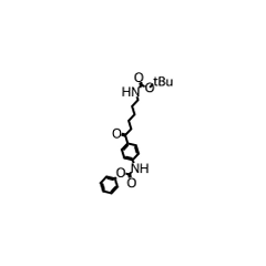 CC(C)(C)OC(=O)NCCCCCC(=O)c1ccc(NC(=O)Oc2ccccc2)cc1